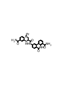 CC(C)OCC(Nc1cccc(C(N)=O)c1)C(=O)Nc1ccc2c(=O)[nH]c3c(C(N)=O)cccc3c2c1